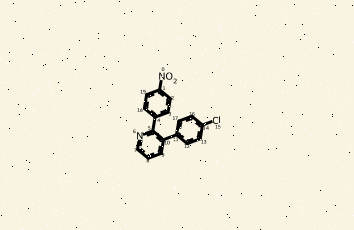 O=[N+]([O-])c1ccc(-c2ncccc2-c2ccc(Cl)cc2)cc1